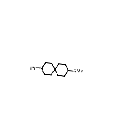 CSC1CCC2(CC1)CCN(C(C)C)CC2